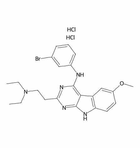 CCN(CC)CCc1nc(Nc2cccc(Br)c2)c2c(n1)[nH]c1ccc(OC)cc12.Cl.Cl